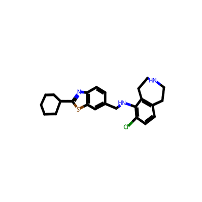 Clc1ccc2c(c1NCc1ccc3nc(C4CCCCC4)sc3c1)CCNCC2